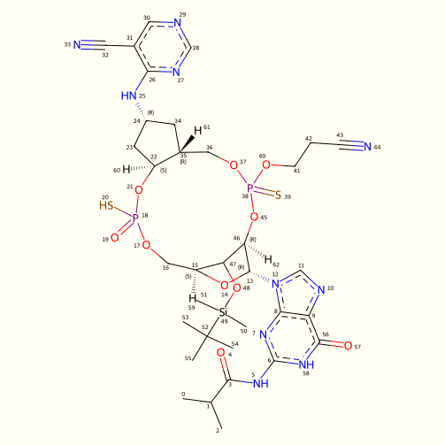 CC(C)C(=O)Nc1nc2c(ncn2[C@@H]2O[C@H]3COP(=O)(S)O[C@H]4C[C@H](Nc5ncncc5C#N)C[C@@H]4COP(=S)(OCCC#N)O[C@@H]2C3O[Si](C)(C)C(C)(C)C)c(=O)[nH]1